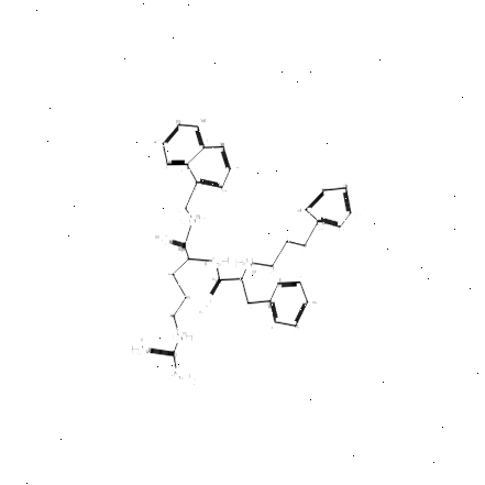 N=C(N)NCCCC(NC(=O)C(Cc1ccccc1)NCCCc1ccccc1)C(=O)NCc1cccc2ccccc12